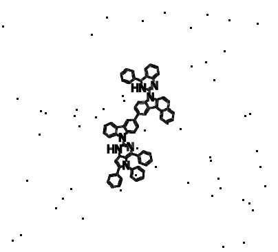 C1=C(c2ccccc2)N(c2ccccc2)C2=C(c3ccccc3)N=C(n3c4ccccc4c4cc(-c5ccc6c(c5)c5c7ccccc7ccc5n6C5=Nc6ccccc6C(c6ccccc6)N5)ccc43)NC12